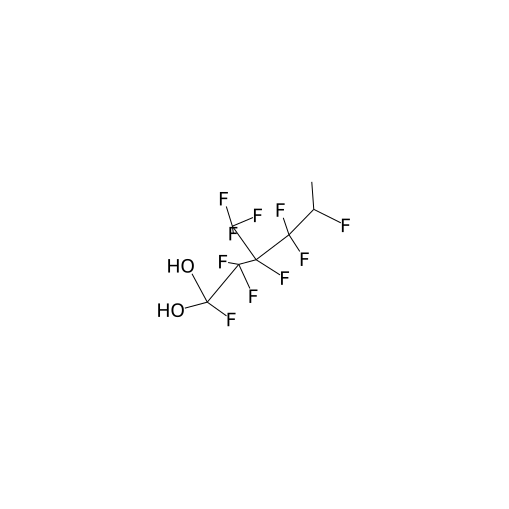 CC(F)C(F)(F)C(F)(C(F)(F)F)C(F)(F)C(O)(O)F